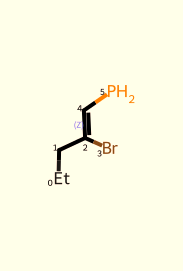 CCC/C(Br)=C/P